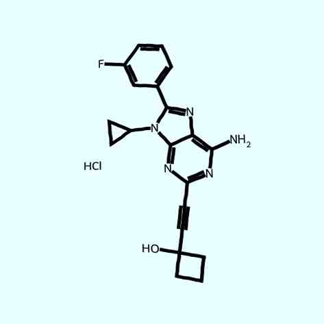 Cl.Nc1nc(C#CC2(O)CCC2)nc2c1nc(-c1cccc(F)c1)n2C1CC1